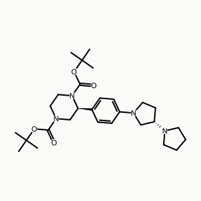 CC(C)(C)OC(=O)N1CCN(C(=O)OC(C)(C)C)[C@@H](c2ccc(N3CC[C@H](N4CCCC4)C3)cc2)C1